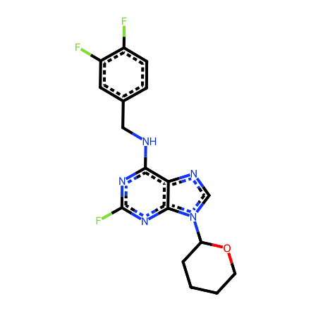 Fc1nc(NCc2ccc(F)c(F)c2)c2ncn(C3CCCCO3)c2n1